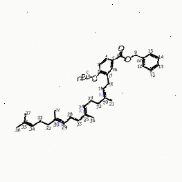 CCCCOc1ccc(C(=O)OCc2ccccc2)cc1C/C=C(\C)CC/C=C(\C)CC/C=C(\C)CCC=C(C)C